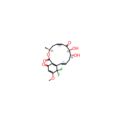 COC1=CC(=O)C2=C(/C=C/C[C@H](O)[C@H](O)C(=O)/C=C\C[C@H](C)OC2=O)C1(F)F